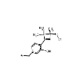 CCO[C@]1(C)C=C(c2ccc(CBr)cc2O)C1(C)C